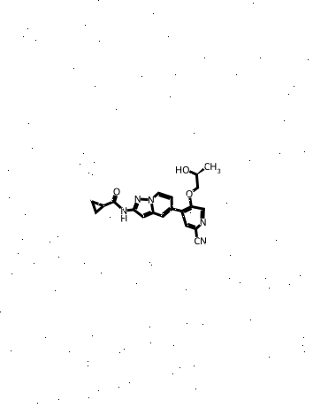 C[C@H](O)COc1cnc(C#N)cc1-c1ccn2nc(NC(=O)C3CC3)cc2c1